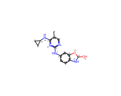 Cc1cnc(Nc2ccc3c(c2)OC(O)N3)nc1NC1CC1